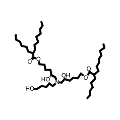 CCCCCCCCC(CCCCCC)C(=O)OCCCC[C@@H](O)CN(CCCCCO)C[C@H](O)CCCCOC(=O)C(CCCCCC)CCCCCCCC